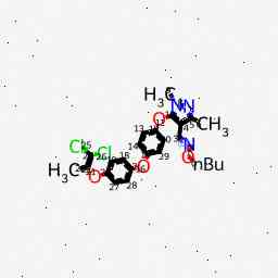 CCCCO/N=C/c1c(C)nn(C)c1Oc1ccc(Oc2ccc(OC(C)=C(Cl)Cl)cc2)cc1